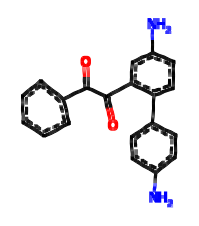 Nc1ccc(-c2ccc(N)cc2C(=O)C(=O)c2ccccc2)cc1